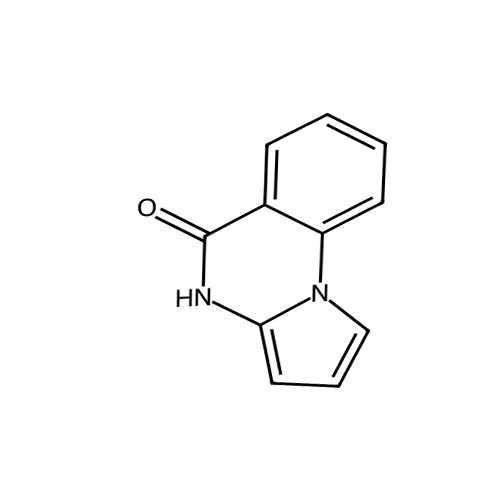 O=c1[nH]c2cccn2c2ccccc12